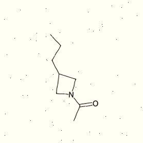 CCCC1CN(C(C)=O)C1